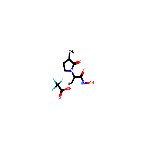 CC1CCN(C(C(=O)NO)C(C)C)C1=O.O=C(O)C(F)(F)F